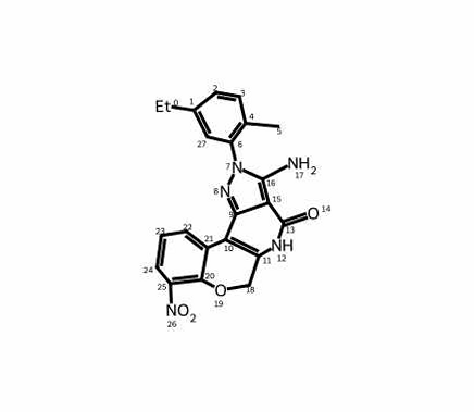 CCc1ccc(C)c(-n2nc3c4c([nH]c(=O)c3c2N)COc2c-4cccc2[N+](=O)[O-])c1